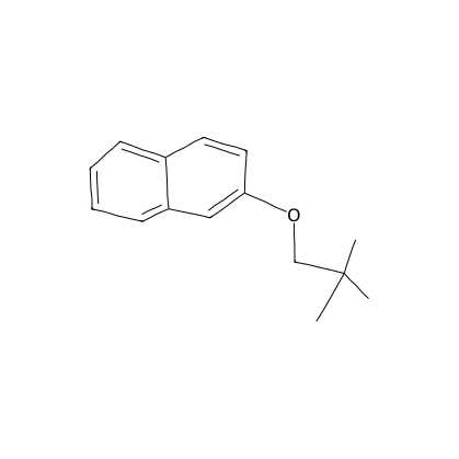 CC(C)(C)COc1ccc2ccccc2c1